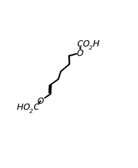 O=C(O)OC=CCCCCOC(=O)O